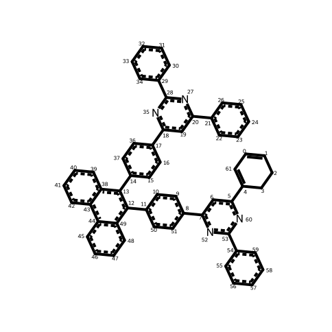 C1=CCCC(c2cc(-c3ccc(-c4c(-c5ccc(-c6cc(-c7ccccc7)nc(-c7ccccc7)n6)cc5)c5ccccc5c5ccccc45)cc3)nc(-c3ccccc3)n2)=C1